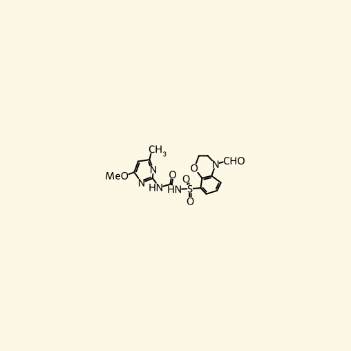 COc1cc(C)nc(NC(=O)NS(=O)(=O)c2cccc3c2OCCN3C=O)n1